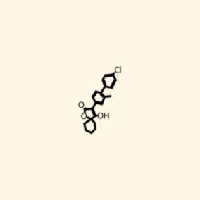 Cc1cc(C2=C(O)C3(CCCCC3)OC2=O)ccc1-c1ccc(Cl)cc1